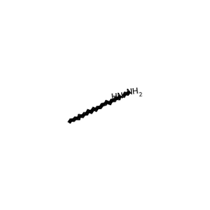 CCCCCCCCCCCCCCCCCCCCCCCNCCCN